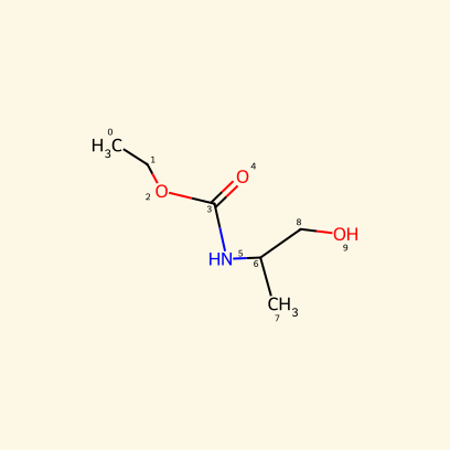 CCOC(=O)NC(C)CO